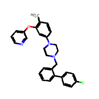 O=C(O)c1ccc(N2CCN(Cc3ccccc3-c3ccc(Cl)cc3)CC2)cc1Oc1cccnc1